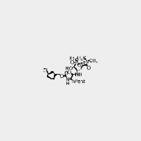 CCCCCC(NC(=O)OCc1cccc(Cl)c1)C(=O)N[C@@H](CCC(=O)N(C)C)C(O)P(=O)(OCC)OCC